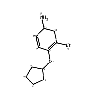 CCC1=C(OC2CCCC2)C=CC(N)C1